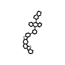 c1cc(-c2ccc3sc4cc5ccc6c7ccccc7sc6c5cc4c3c2)cc(-c2c3ccccc3c(-c3ccc4ccccc4c3)c3ccccc23)c1